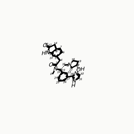 CN(C(=O)Cc1ccc2c(c1)NC(=O)C2)[C@H](CN1CC[C@H](O)C1)c1cccc(-c2ncc[nH]2)c1